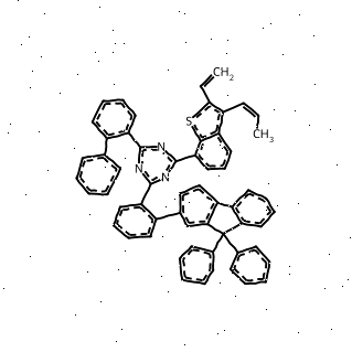 C=Cc1sc2c(-c3nc(-c4ccccc4-c4ccccc4)nc(-c4ccccc4-c4ccc5c(c4)C(c4ccccc4)(c4ccccc4)c4ccccc4-5)n3)cccc2c1/C=C\C